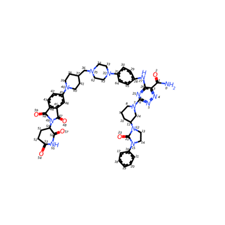 NC(=O)c1nnc(N2CCCC(N3CCN(c4ccccc4)C3=O)C2)nc1Nc1ccc(N2CCN(CC3CCN(c4ccc5c(c4)C(=O)N(C4CCC(=O)NC4=O)C5=O)CC3)CC2)cc1